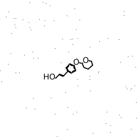 OC/C=C/c1ccc(OC2CCCCO2)cc1